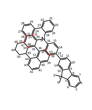 CC1(C)c2ccccc2-c2ccc(-c3ccc(N(c4ccccc4-c4ccccc4)c4ccccc4-c4cccc5cccc(C6CCCCC6)c45)cc3)cc21